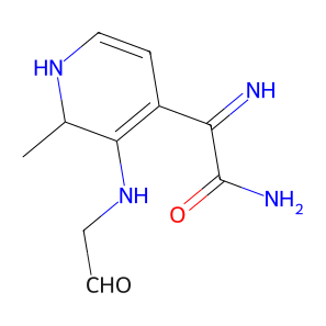 CC1NC=CC(C(=N)C(N)=O)=C1NCC=O